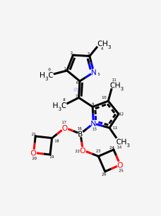 CC1=CC(C)=N/C1=C(/C)c1c(C)cc(C)n1B(OC1COC1)OC1COC1